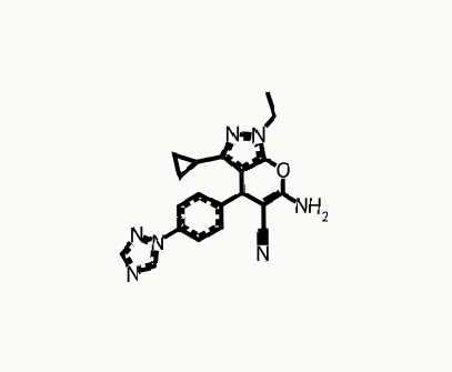 CCn1nc(C2CC2)c2c1OC(N)=C(C#N)C2c1ccc(-n2cncn2)cc1